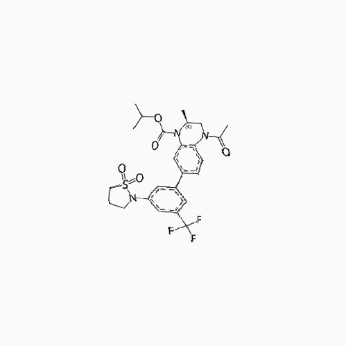 CC(=O)N1C[C@H](C)N(C(=O)OC(C)C)c2cc(-c3cc(N4CCCS4(=O)=O)cc(C(F)(F)F)c3)ccc21